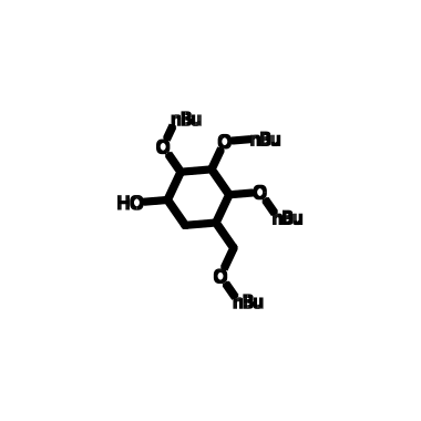 CCCCOCC1CC(O)C(OCCCC)C(OCCCC)C1OCCCC